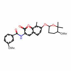 COc1cccc(C(=O)Nc2cc3ccc(OC4CCC(OC)C(C)(C)O4)c(C)c3oc2=O)c1